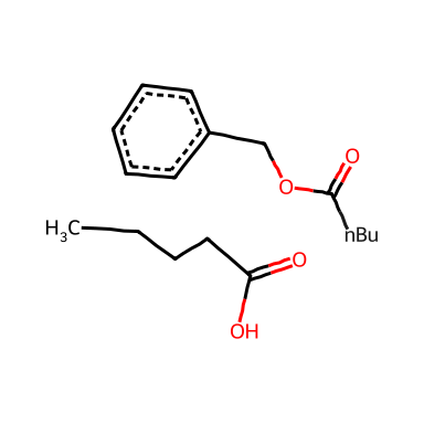 CCCCC(=O)O.CCCCC(=O)OCc1ccccc1